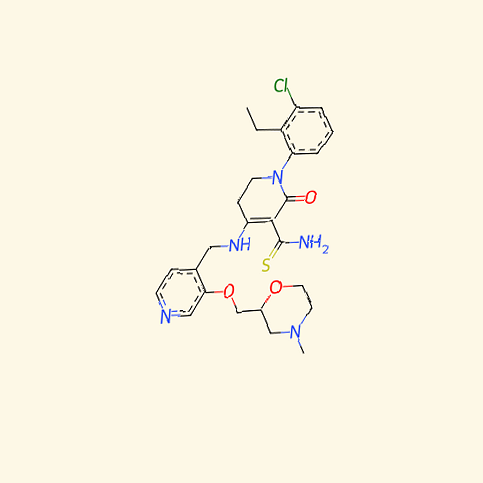 CCc1c(Cl)cccc1N1CCC(NCc2ccncc2OCC2CN(C)CCO2)=C(C(N)=S)C1=O